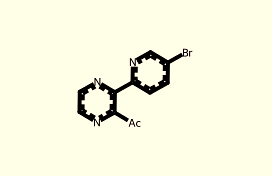 CC(=O)c1nccnc1-c1ccc(Br)cn1